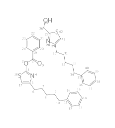 O=C(Oc1nc(CCCCCc2ccccc2)cs1)c1ccccc1.OCc1nc(CCCCCc2ccccc2)cs1